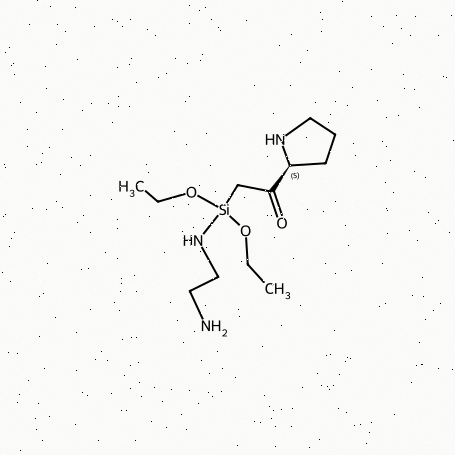 CCO[Si](CC(=O)[C@@H]1CCCN1)(NCCN)OCC